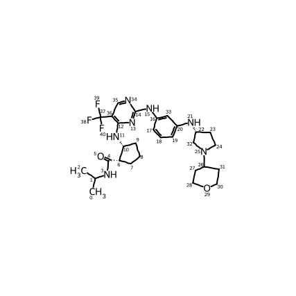 CC(C)NC(=O)[C@H]1CCC[C@H]1Nc1nc(Nc2cccc(N[C@@H]3CCN(C4CCOCC4)C3)c2)ncc1C(F)(F)F